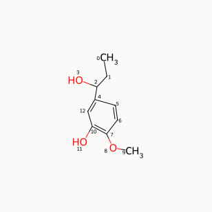 CCC(O)c1ccc(OC)c(O)c1